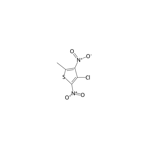 Cc1sc([N+](=O)[O-])c(Cl)c1[N+](=O)[O-]